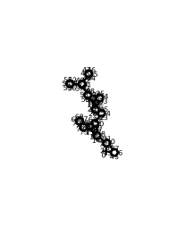 CC1(C)c2ccccc2-c2ccc(-c3ccc4c(c3)c3cc(-c5cccc6c5ccc5c6c6cccc7c8cc(-c9cc(-c%10ccccc%10)cc(-c%10ccccc%10)c9)ccc8n5c76)cc5c6c7ccccc7ccc6n4c35)cc21